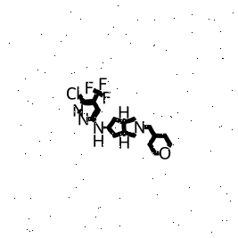 FC(F)(F)c1cc(N[C@H]2C[C@@H]3CN(CC4CCOCC4)C[C@@H]3C2)nnc1Cl